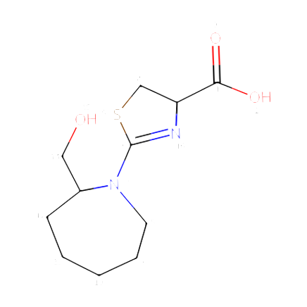 O=C(O)C1CSC(N2CCCCCC2CO)=N1